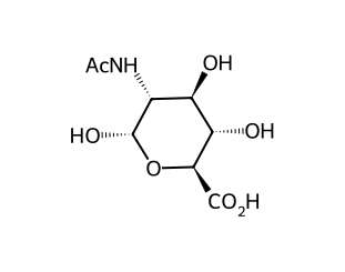 CC(=O)N[C@@H]1[C@@H](O)[C@H](O)[C@@H](C(=O)O)O[C@@H]1O